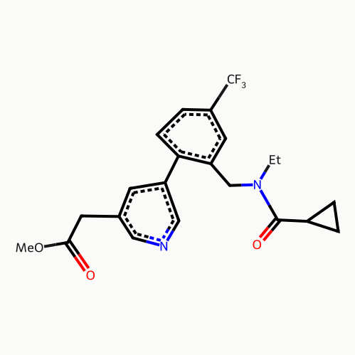 CCN(Cc1cc(C(F)(F)F)ccc1-c1cncc(CC(=O)OC)c1)C(=O)C1CC1